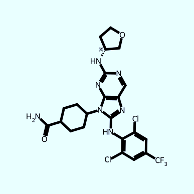 NC(=O)C1CCC(n2c(Nc3c(Cl)cc(C(F)(F)F)cc3Cl)nc3cnc(N[C@@H]4CCOC4)nc32)CC1